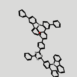 c1ccc(-c2ccc(-n3c4ccccc4c4cc(-c5ccccc5)ccc43)c(-c3ccc(-c4ccc(-c5nc(-c6ccccc6)nc(-c6ccc(-c7ccccc7)c(-n7c8ccccc8c8ccccc87)c6)n5)cc4)cc3)c2)cc1